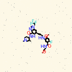 COCCNC(=O)c1cc(NCC#Cc2cc(C(=O)N[C@H]3CCN(C)C[C@@H]3C)c3ncn(CC(F)(F)F)c3c2)c(OC)cc1F